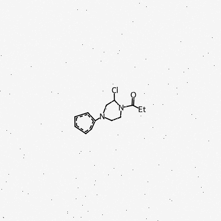 CCC(=O)N1CCN(c2ccccc2)CC1Cl